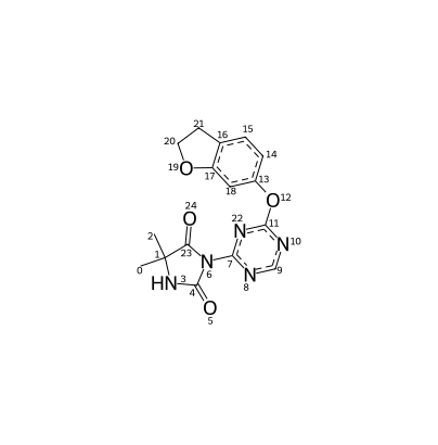 CC1(C)NC(=O)N(c2ncnc(Oc3ccc4c(c3)OCC4)n2)C1=O